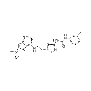 Cc1cccc(NC(=O)Nc2ncc(CCNc3ncnc4cc([S+](C)[O-])sc34)s2)c1